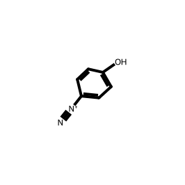 N#[N+]c1ccc(O)cc1